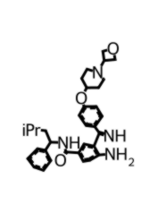 CC(C)CC(NC(=O)c1ccc(N)c(C(=N)c2ccc(OC3CCN(C4COC4)CC3)cc2)c1)c1ccccc1